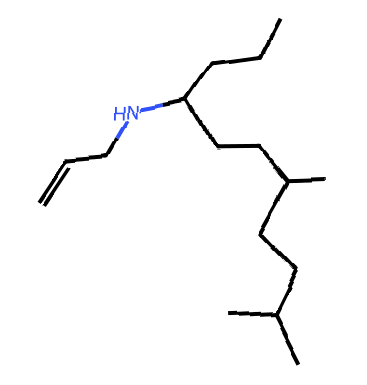 C=CCNC(CCC)CCC(C)CCC(C)C